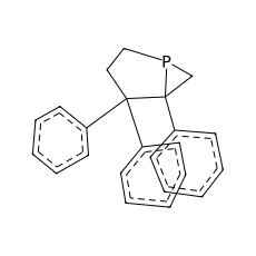 c1ccc(C2(c3ccccc3)CCP3CC32c2ccccc2)cc1